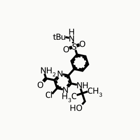 CC(C)(C)NS(=O)(=O)c1cccc(-c2nc(C(N)=O)c(Cl)nc2NC(C)(C)CO)c1